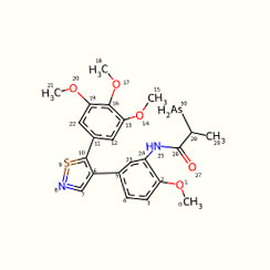 COc1ccc(-c2cnsc2-c2cc(OC)c(OC)c(OC)c2)cc1NC(=O)C(C)[AsH2]